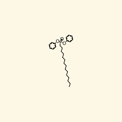 CCCCCCCCCCCCCCCP(=O)(Oc1ccccc1)Oc1ccccc1